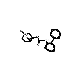 O=C(Nc1ccccc1-c1ccccc1)OC1C[N+]2([O-])CCC1CC2